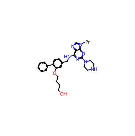 CC(C)n1cnc2c(NCc3ccc(-c4ccccc4)c(OCCCCO)c3)nc(N3CCNCC3)nc21